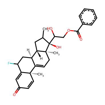 CC1C[C@H]2[C@@H]3CC(F)C4=CC(=O)C=C[C@]4(C)C3=CC[C@]2(C)[C@@]1(O)C(O)COC(=O)c1ccccc1